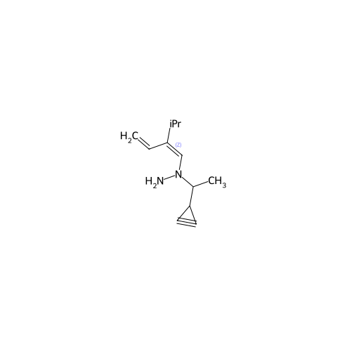 C=C/C(=C\N(N)C(C)C1C#C1)C(C)C